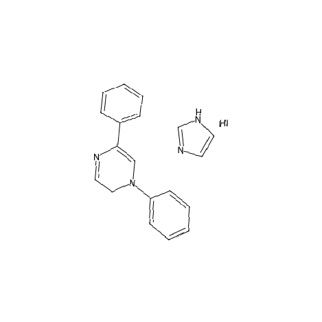 C1=NC(c2ccccc2)=CN(c2ccccc2)C1.I.c1c[nH]cn1